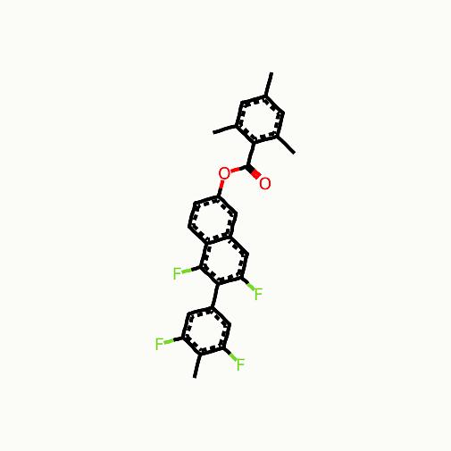 Cc1cc(C)c(C(=O)Oc2ccc3c(F)c(-c4cc(F)c(C)c(F)c4)c(F)cc3c2)c(C)c1